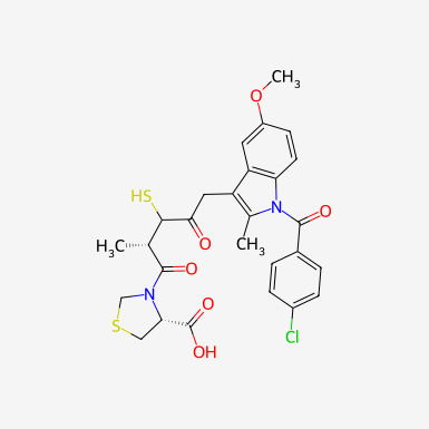 COc1ccc2c(c1)c(CC(=O)C(S)[C@@H](C)C(=O)N1CSC[C@H]1C(=O)O)c(C)n2C(=O)c1ccc(Cl)cc1